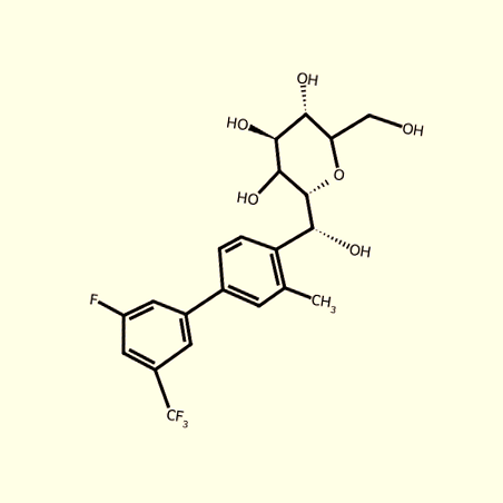 Cc1cc(-c2cc(F)cc(C(F)(F)F)c2)ccc1[C@@H](O)[C@H]1OC(CO)[C@@H](O)[C@H](O)C1O